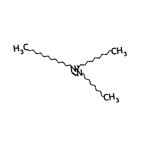 CCCCCCCCCCCCC[n+]1ccn(CCCCCCCCC)c1CCCCCCCCCC